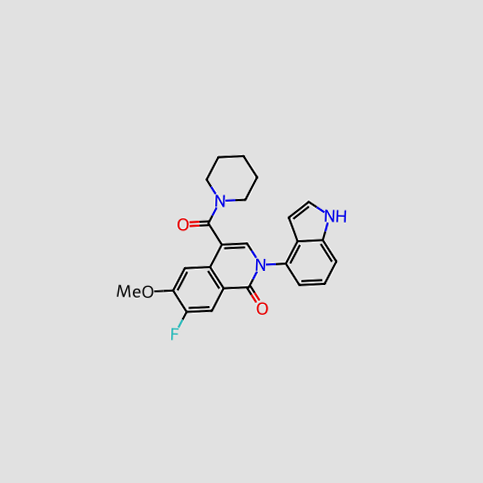 COc1cc2c(C(=O)N3CCCCC3)cn(-c3cccc4[nH]ccc34)c(=O)c2cc1F